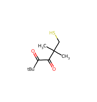 CC(C)(C)C(=O)C(=O)C(C)(C)CS